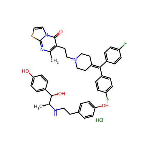 C[C@H](NCCc1ccc(O)cc1)[C@H](O)c1ccc(O)cc1.Cc1nc2sccn2c(=O)c1CCN1CCC(=C(c2ccc(F)cc2)c2ccc(F)cc2)CC1.Cl